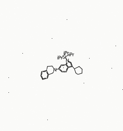 CC(C)[Si](C(C)C)(C(C)C)n1cc(C2CCCCC2)c2ccc(N3CCc4ccccc4C3)cc21